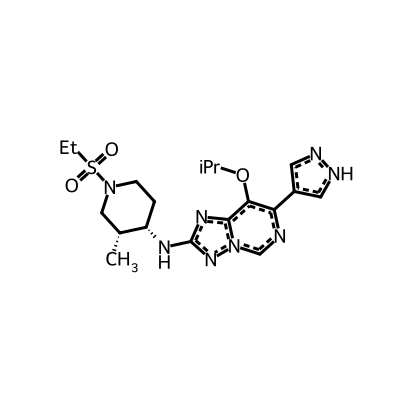 CCS(=O)(=O)N1CC[C@H](Nc2nc3c(OC(C)C)c(-c4cn[nH]c4)ncn3n2)[C@H](C)C1